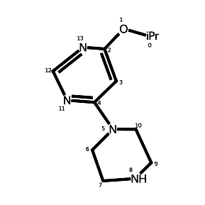 CC(C)Oc1cc(N2CCNCC2)ncn1